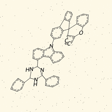 c1ccc(C2=NC(c3cccc4c3c3ccccc3n4-c3ccc4c(c3)C3(c5ccccc5Oc5ccccc53)c3ccccc3-4)NC(c3ccccc3)N2)cc1